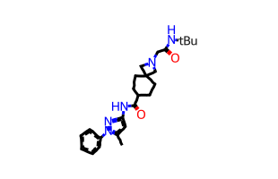 Cc1cc(NC(=O)C2CCC3(CC2)CN(CC(=O)NC(C)(C)C)C3)nn1-c1ccccc1